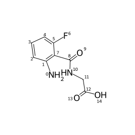 Nc1cccc(F)c1C(=O)NCC(=O)O